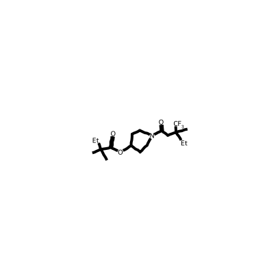 CCC(C)(C)C(=O)OC1CCN(C(=O)CC(C)(CC)C(F)(F)F)CC1